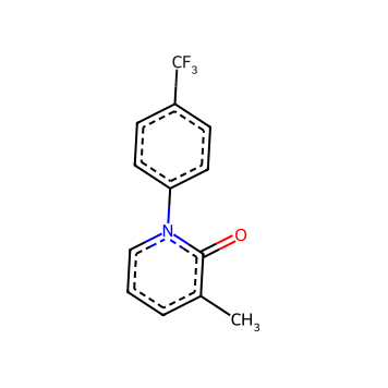 Cc1cccn(-c2ccc(C(F)(F)F)cc2)c1=O